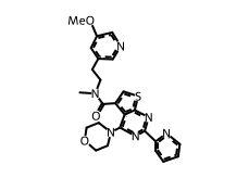 COc1cncc(CCN(C)C(=O)c2csc3nc(-c4ccccn4)nc(N4CCOCC4)c23)c1